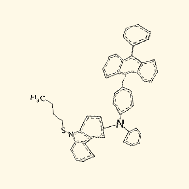 CCCCSn1c2ccccc2c2cc(N(c3ccccc3)c3ccc(-c4c5ccccc5c(-c5ccccc5)c5ccccc45)cc3)ccc21